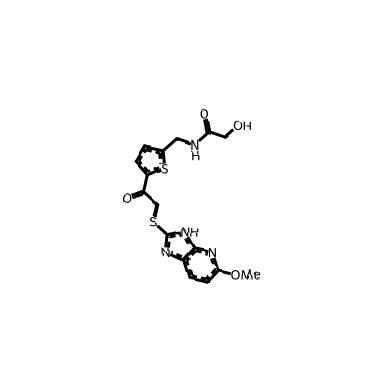 COc1ccc2nc(SCC(=O)c3ccc(CNC(=O)CO)s3)[nH]c2n1